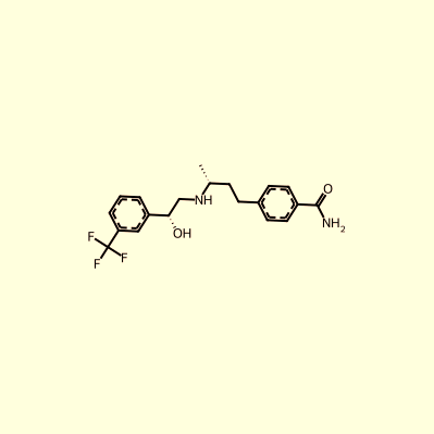 C[C@H](CCc1ccc(C(N)=O)cc1)NC[C@H](O)c1cccc(C(F)(F)F)c1